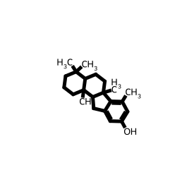 Cc1cc(O)cc2c1C1(C)CCC3C(C)(C)CCCC3(C)C1C2